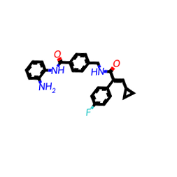 Nc1ccccc1NC(=O)c1ccc(CNC(=O)C(=CC2CC2)c2ccc(F)cc2)cc1